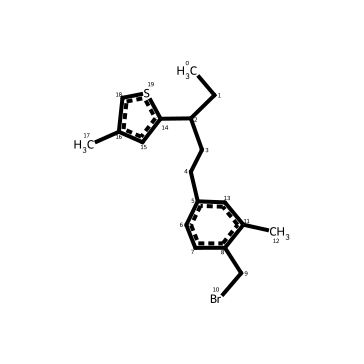 CCC(CCc1ccc(CBr)c(C)c1)c1cc(C)cs1